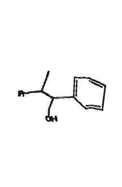 CC(C)C(C)C(O)c1ccccc1